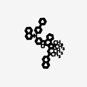 CC1=C(/C=C(\C)c2ccc3ccccc3c2)c2c(c3ccccc3c3c2oc2ccc(N(c4ccc(-c5ccccc5)cc4)c4cccc5ccccc45)cc23)C1(C)C